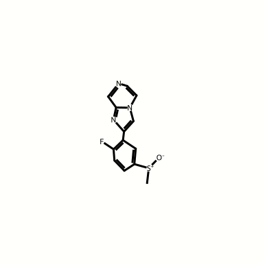 C[S+]([O-])c1ccc(F)c(-c2cn3ccncc3n2)c1